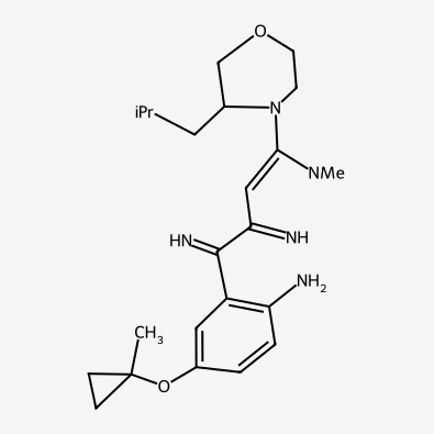 CN/C(=C\C(=N)C(=N)c1cc(OC2(C)CC2)ccc1N)N1CCOCC1CC(C)C